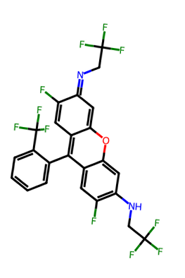 Fc1cc2c(-c3ccccc3C(F)(F)F)c3cc(F)c(=NCC(F)(F)F)cc-3oc2cc1NCC(F)(F)F